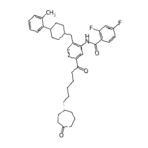 Cc1ccccc1C1CCC(Cc2ccc(C(=O)CCCCC[C@@H]3CCCC(=O)CC3)cc2NC(=O)c2ccc(F)cc2F)CC1